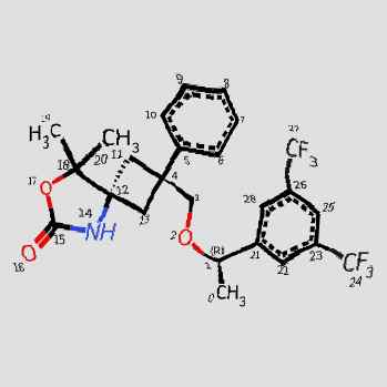 C[C@@H](OC[C@]1(c2ccccc2)C[C@]2(C1)NC(=O)OC2(C)C)c1cc(C(F)(F)F)cc(C(F)(F)F)c1